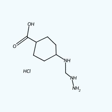 Cl.NNCNC1CCC(C(=O)O)CC1